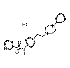 Cl.O=S(=O)(Nc1ccc(CCN2CCN(c3ccccc3)CC2)cc1)c1cccnc1